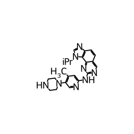 Cc1cc(Nc2ncc3ccc4ncn(C(C)C)c4c3n2)ncc1N1CCNCC1